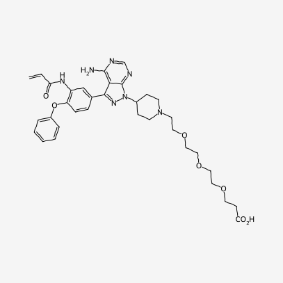 C=CC(=O)Nc1cc(-c2nn(C3CCN(CCOCCOCCOCCC(=O)O)CC3)c3ncnc(N)c23)ccc1Oc1ccccc1